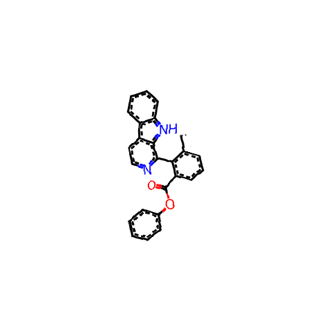 [CH2]c1cccc(C(=O)Oc2ccccc2)c1-c1nccc2c1[nH]c1ccccc12